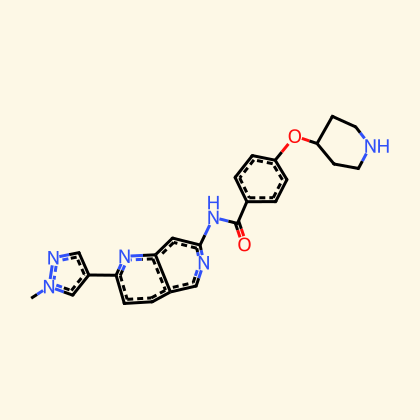 Cn1cc(-c2ccc3cnc(NC(=O)c4ccc(OC5CCNCC5)cc4)cc3n2)cn1